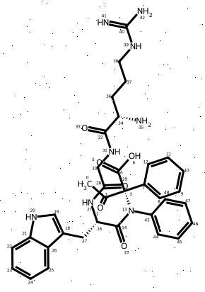 CC(=O)[C@@](C(=O)O)(c1ccccc1)N(C(=O)[C@H](Cc1c[nH]c2ccccc12)NC(=O)CNC(=O)[C@@H](N)CCCNC(=N)N)c1ccccc1